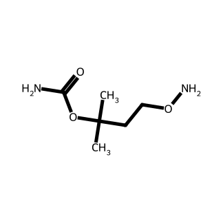 CC(C)(CCON)OC(N)=O